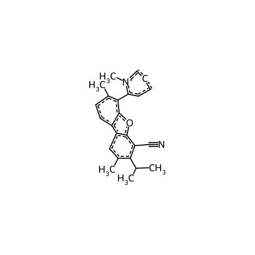 Cc1cc2c(oc3c(-c4cccc[n+]4C)c(C)ccc32)c(C#N)c1C(C)C